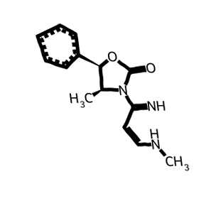 CN/C=C\C(=N)N1C(=O)O[C@H](c2ccccc2)[C@@H]1C